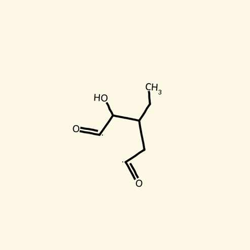 CCC(C[C]=O)C(O)[C]=O